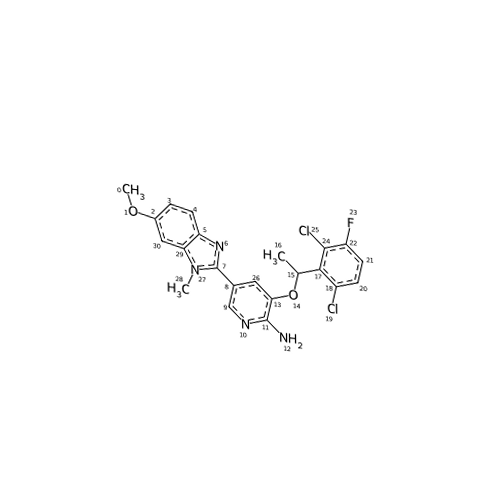 COc1ccc2nc(-c3cnc(N)c(OC(C)c4c(Cl)ccc(F)c4Cl)c3)n(C)c2c1